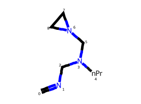 C=NCN(CCC)CN1CC1